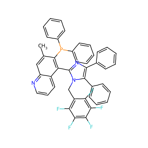 Cc1cc2ncccc2c(-c2nc(-c3ccccc3)c(-c3ccccc3)n2Cc2c(F)c(F)c(F)c(F)c2F)c1P(c1ccccc1)c1ccccc1